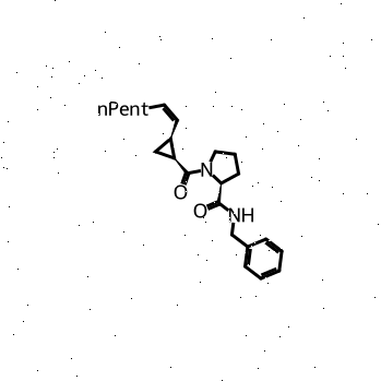 CCCCC/C=C\[C@@H]1C[C@@H]1C(=O)N1CCC[C@H]1C(=O)NCc1ccccc1